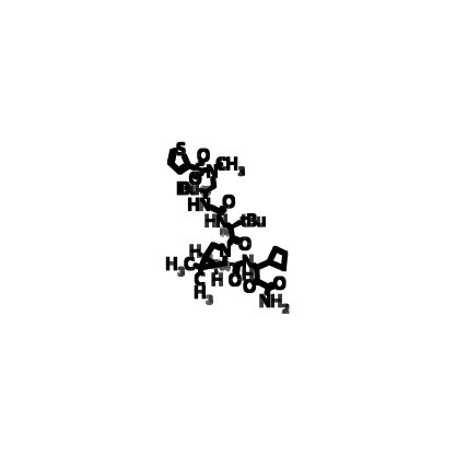 CC[C@H](C)[C@@H](CN(C)S(=O)(=O)c1cccs1)NC(=O)N[C@H](C(=O)N1C[C@H]2[C@@H]([C@H]1C(=O)NC(C(=O)C(N)=O)C1CCC1)C2(C)C)C(C)(C)C